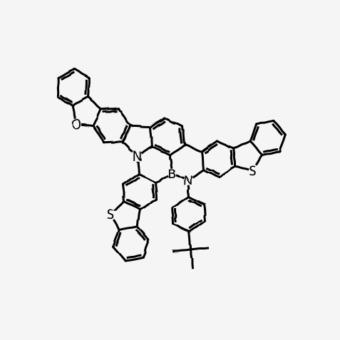 CC(C)(C)c1ccc(N2B3c4cc5c(cc4-n4c6cc7oc8ccccc8c7cc6c6ccc(c3c64)-c3cc4c(cc32)sc2ccccc24)sc2ccccc25)cc1